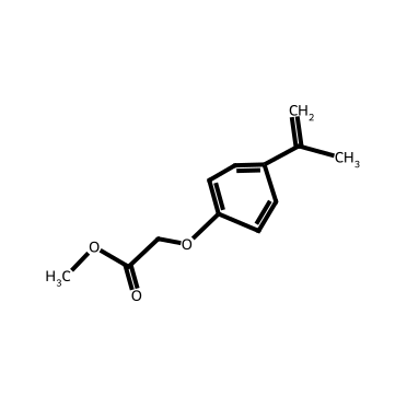 C=C(C)c1ccc(OCC(=O)OC)cc1